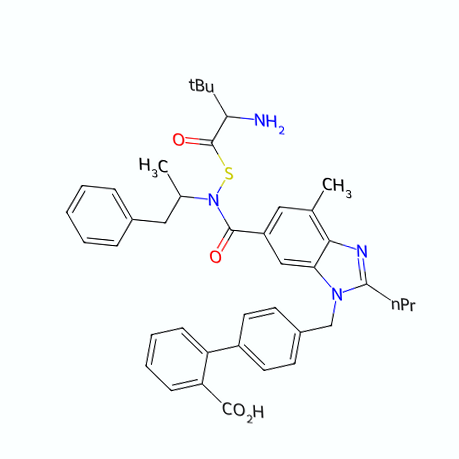 CCCc1nc2c(C)cc(C(=O)N(SC(=O)C(N)C(C)(C)C)C(C)Cc3ccccc3)cc2n1Cc1ccc(-c2ccccc2C(=O)O)cc1